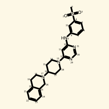 CS(=O)(=O)c1cccc(Nc2cc(N3CCC(N4CCc5ccccc5C4)CC3)ncn2)c1